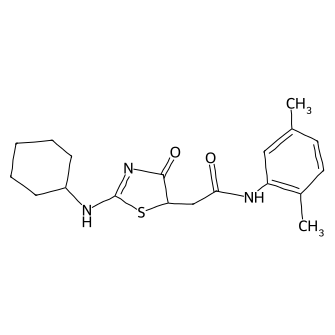 Cc1ccc(C)c(NC(=O)CC2SC(NC3CCCCC3)=NC2=O)c1